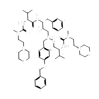 CC(C)[C@H](NC(=O)N(C)CCN1CCOCC1)C(=O)N[C@@H](Cc1ccccc1)[C@@H](O)CN(Cc1ccc(OCc2ccccc2)cc1)NC(=O)[C@@H](NC(=O)N(C)CCN1CCOCC1)C(C)C